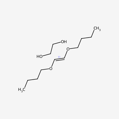 CCCCO/C=C/OCCCC.OCCO